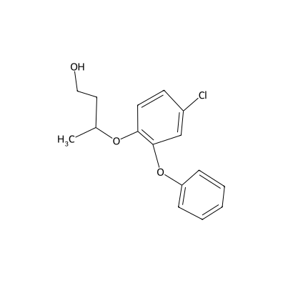 CC(CCO)Oc1ccc(Cl)cc1Oc1ccccc1